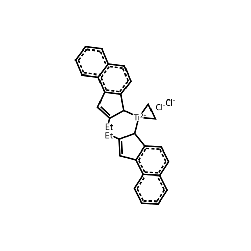 CCC1=Cc2c(ccc3ccccc23)[CH]1[Ti+2]1([CH]2C(CC)=Cc3c2ccc2ccccc32)[CH2][CH2]1.[Cl-].[Cl-]